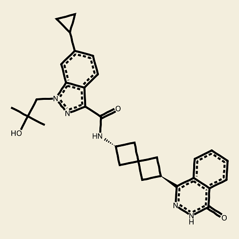 CC(C)(O)Cn1nc(C(=O)N[C@H]2CC3(C2)C[C@H](c2n[nH]c(=O)c4ccccc42)C3)c2ccc(C3CC3)cc21